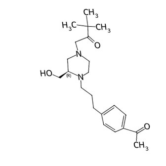 CC(=O)c1ccc(CCCN2CCN(CC(=O)C(C)(C)C)C[C@@H]2CO)cc1